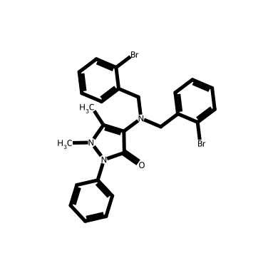 Cc1c(N(Cc2ccccc2Br)Cc2ccccc2Br)c(=O)n(-c2ccccc2)n1C